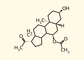 CC(=O)O[C@@H]1C[C@H]2C[C@H](O)CC[C@]2(C)C2CC[C@@]3(C)C(CC[C@@H]3C(C)=O)C21